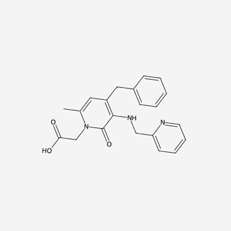 Cc1cc(Cc2ccccc2)c(NCc2ccccn2)c(=O)n1CC(=O)O